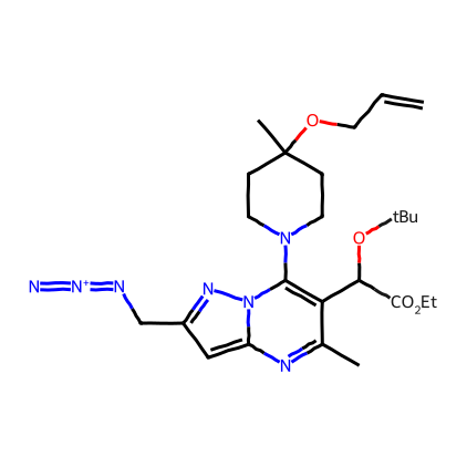 C=CCOC1(C)CCN(c2c(C(OC(C)(C)C)C(=O)OCC)c(C)nc3cc(CN=[N+]=[N-])nn23)CC1